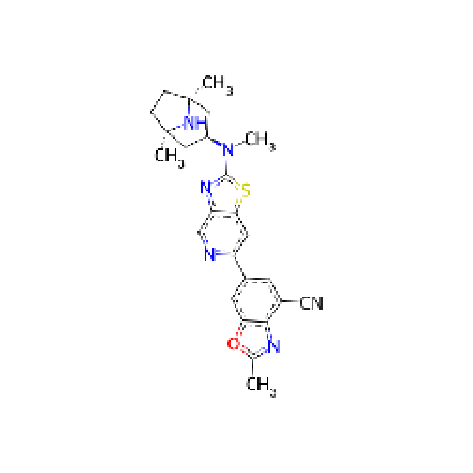 Cc1nc2c(C#N)cc(-c3cc4sc(N(C)[C@@H]5C[C@]6(C)CC[C@](C)(C5)N6)nc4cn3)cc2o1